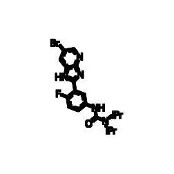 CC(C)N(C(=O)Nc1ccc(F)c(-c2nc3ncc(Br)cc3[nH]2)c1)C(C)C